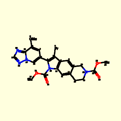 COc1cc(-c2c(C(C)C)c3cc4c(cc3n2C(=O)OC(C)(C)C)CCN(C(=O)OC(C)(C)C)C4)cn2ncnc12